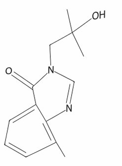 Cc1cccc2c(=O)n(CC(C)(C)O)cnc12